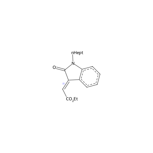 CCCCCCCN1C(=O)/C(=C/C(=O)OCC)c2ccccc21